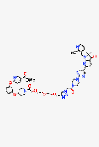 COC(=O)c1ccc(Oc2cccc(OC3CCN(C(=O)COCCOCCOCc4cn(CC(=O)N5CCN(c6ncc(-c7ccc8c(n7)N(Cc7cccnc7C#N)C(C)(C)C8=O)cn6)C[C@H]5C)nn4)CC3)c2)nc1